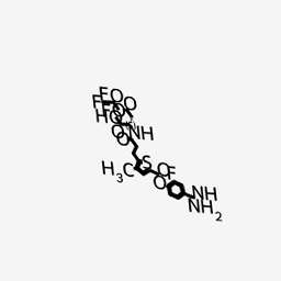 Cc1cc(C(=O)Oc2ccc(C(=N)N)cc2F)sc1CCC(=O)N[C@@H](CC(=O)OC(=O)C(F)(F)F)C(=O)O